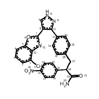 Cc1cccc2oc(-c3c[nH]nc3-c3ccc(CC(C(N)=O)c4ccc([N+](=O)[O-])cc4)cc3)nc12